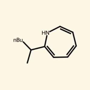 CCCCC(C)C1=CC=CC=CN1